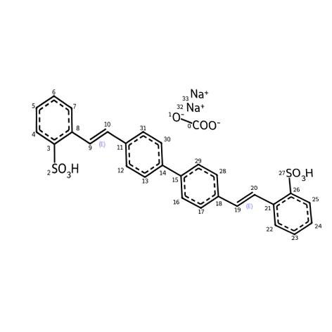 O=C([O-])[O-].O=S(=O)(O)c1ccccc1/C=C/c1ccc(-c2ccc(/C=C/c3ccccc3S(=O)(=O)O)cc2)cc1.[Na+].[Na+]